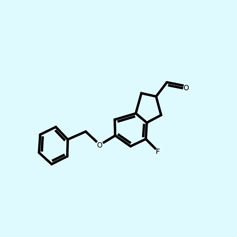 O=CC1Cc2cc(OCc3ccccc3)cc(F)c2C1